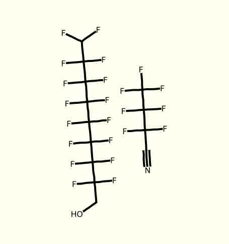 N#CC(F)(F)C(F)(F)C(F)(F)F.OCC(F)(F)C(F)(F)C(F)(F)C(F)(F)C(F)(F)C(F)(F)C(F)(F)C(F)F